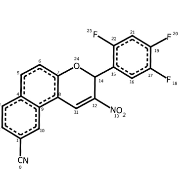 N#Cc1ccc2ccc3c(c2c1)C=C([N+](=O)[O-])C(c1cc(F)c(F)cc1F)O3